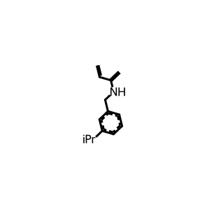 C=CC(=C)NCc1cccc(C(C)C)c1